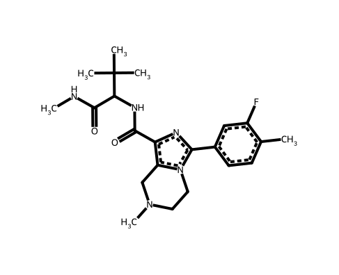 CNC(=O)C(NC(=O)c1nc(-c2ccc(C)c(F)c2)n2c1CN(C)CC2)C(C)(C)C